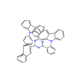 c1ccc(-n2c3ccccc3c3cccc(-c4nc(-c5ccc6ccccc6c5)nc(-c5ccccc5-n5c6ccccc6c6cc7ccccc7cc65)n4)c32)cc1